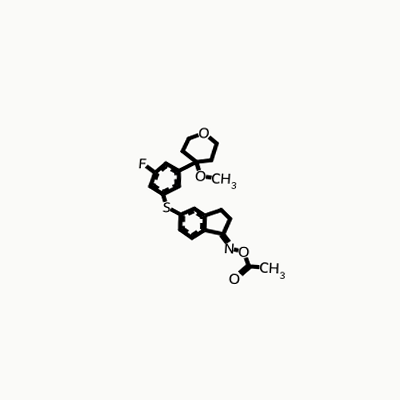 COC1(c2cc(F)cc(Sc3ccc4c(c3)CCC4=NOC(C)=O)c2)CCOCC1